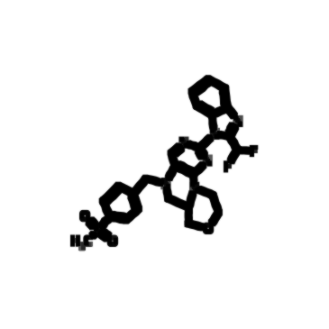 CS(=O)(=O)c1ccc(CN2CC3COCCN3c3nc(-n4c(C(F)F)nc5ccccc54)ncc32)cc1